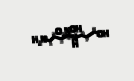 NCCCCNCCCO.O=[N+]([O-])O